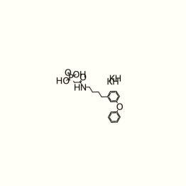 O=C(CP(=O)(O)O)NCCCCc1cccc(Oc2ccccc2)c1.[KH].[KH]